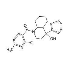 Cc1ccc(C(=O)N2CCC(O)(c3ccccc3)C3CCCCC32)c(Cl)n1